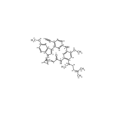 C=CC(=O)Nc1cc(Nc2ncc(C#N)c(-c3cn(C4CC4)c4ccc(OC)cc34)n2)c(OC)cc1N(C)CCN(C)C